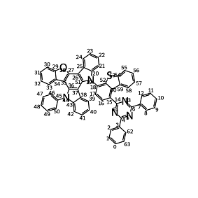 c1ccc(-c2nc(-c3ccccc3)nc(-c3ccc(-n4c5ccccc5c5c6oc7ccccc7c6c6c(c7ccccc7n6-c6ccccc6)c54)c4sc5ccccc5c34)n2)cc1